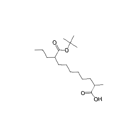 CCCC(CCCCCCC(C)C(=O)O)C(=O)OC(C)(C)C